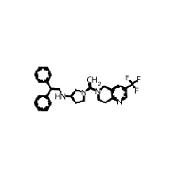 C=C(N1CCc2ncc(C(F)(F)F)cc2C1)N1CCC(NCC(c2ccccc2)c2ccccc2)C1